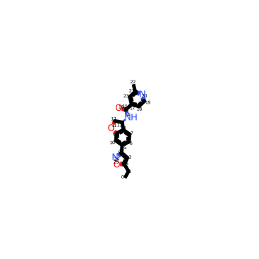 CCc1cc(-c2ccc3c(c2)OC[C@H]3NC(=O)c2ccnc(C)c2)no1